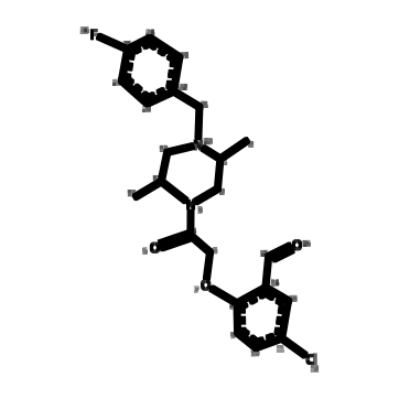 CC1CN(C(=O)COc2ccc(Cl)cc2C=O)C(C)CN1Cc1ccc(F)cc1